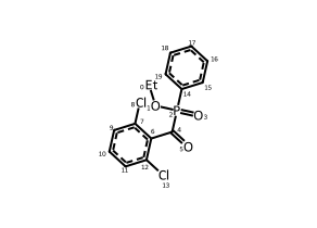 CCOP(=O)(C(=O)c1c(Cl)cccc1Cl)c1ccccc1